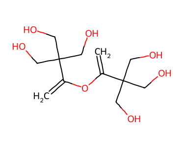 C=C(OC(=C)C(CO)(CO)CO)C(CO)(CO)CO